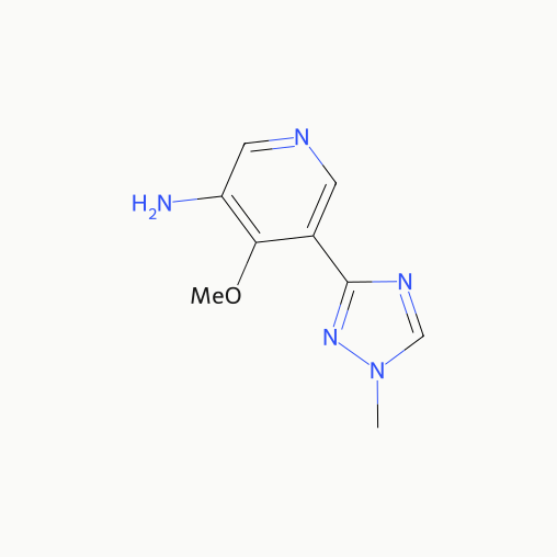 COc1c(N)cncc1-c1ncn(C)n1